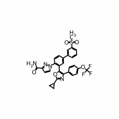 CS(=O)(=O)c1cccc(-c2ccc(-n3ccc(C(N)=O)n3)c(-c3oc(C4CC4)nc3-c3ccc(OC(F)(F)F)cc3)c2)c1